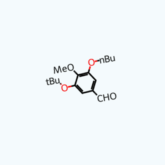 CCCCOc1cc(C=O)cc(OC(C)(C)C)c1OC